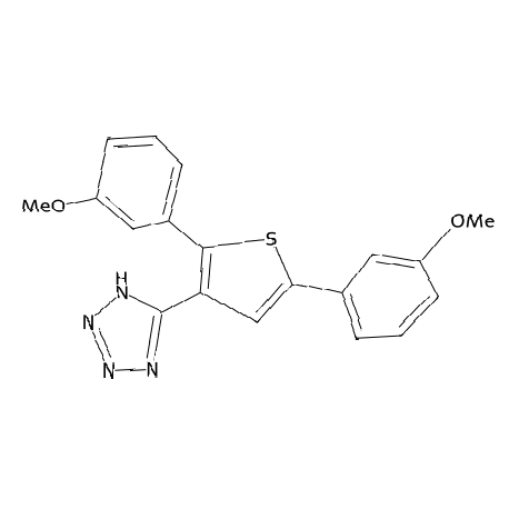 COc1cccc(-c2cc(-c3nnn[nH]3)c(-c3cccc(OC)c3)s2)c1